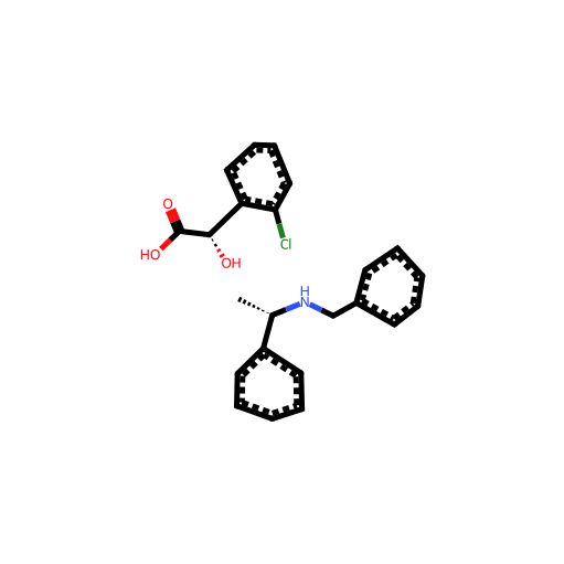 C[C@H](NCc1ccccc1)c1ccccc1.O=C(O)[C@@H](O)c1ccccc1Cl